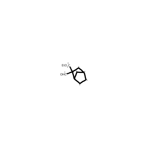 CCOC(=O)C1(C=O)CC2CCC1C2